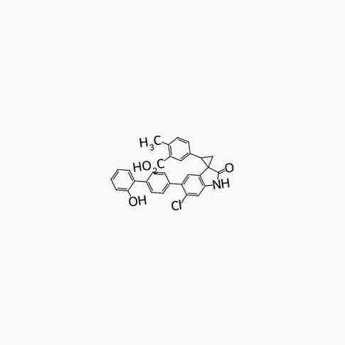 Cc1ccc(C2CC23C(=O)Nc2cc(Cl)c(-c4ccc(-c5ccccc5O)cc4)cc23)cc1C(=O)O